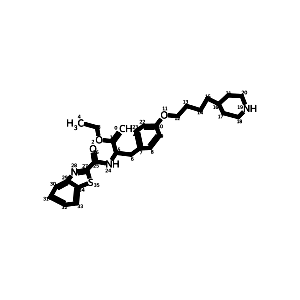 C=C(OCC)C(Cc1ccc(OCCCCC2CCNCC2)cc1)NC(=O)c1nc2ccccc2s1